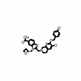 O=C(O)c1ccc2nc(CN3CCc4cc(Cl)c(OCc5ccc(Cl)cc5)nc4C3)n(C[C@@H]3CCO3)c2c1